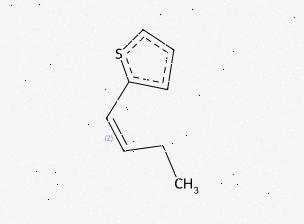 CC/C=C\c1cccs1